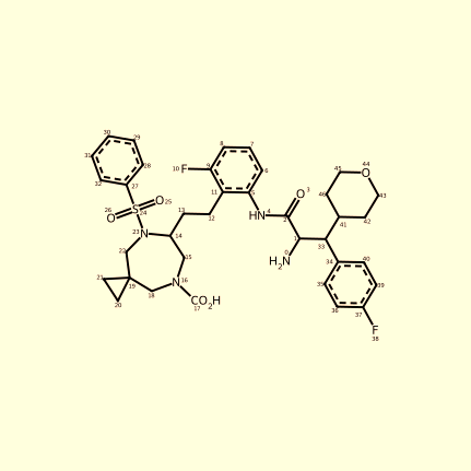 NC(C(=O)Nc1cccc(F)c1CCC1CN(C(=O)O)CC2(CC2)CN1S(=O)(=O)c1ccccc1)C(c1ccc(F)cc1)C1CCOCC1